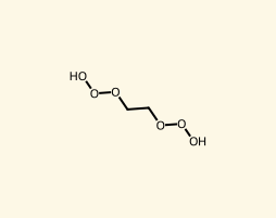 OOOCCOOO